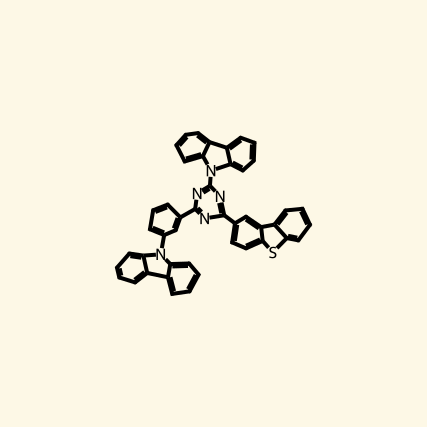 c1cc(-c2nc(-c3ccc4sc5ccccc5c4c3)nc(-n3c4ccccc4c4ccccc43)n2)cc(-n2c3ccccc3c3ccccc32)c1